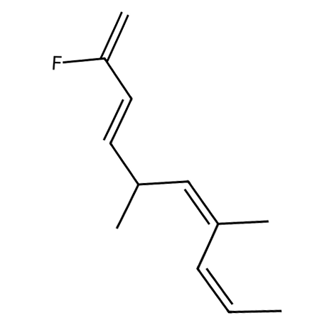 C=C(F)/C=C/C(C)/C=C(C)\C=C/C